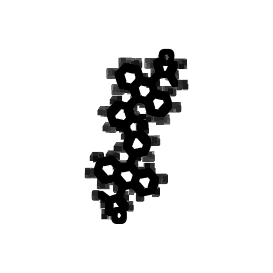 Cc1cocc1-c1c2ccccc2c(-c2ccc3sc4c(-c5c6ccccc6c(-c6cocc6C)c6ccccc56)cccc4c3c2)c2ccccc12